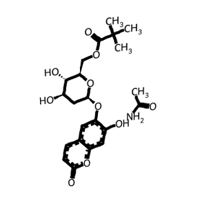 CC(C)(C)C(=O)OC[C@H]1O[C@@H](Oc2cc3ccc(=O)oc3cc2O)C[C@@H](O)[C@@H]1O.CC(N)=O